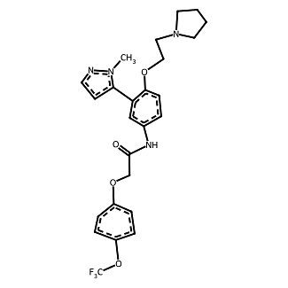 Cn1nccc1-c1cc(NC(=O)COc2ccc(OC(F)(F)F)cc2)ccc1OCCN1CCCC1